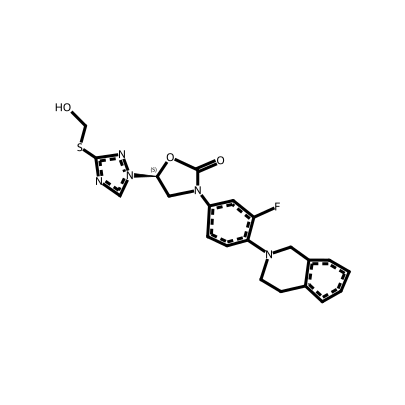 O=C1O[C@H](n2cnc(SCO)n2)CN1c1ccc(N2CCc3ccccc3C2)c(F)c1